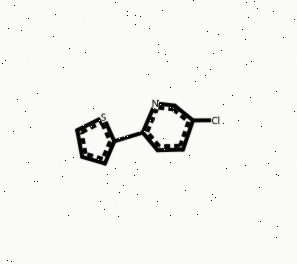 Clc1ccc(-c2cccs2)nc1